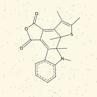 CC1=C(C)C2=C3C(=O)OC(=O)C3=C3c4ccccc4N(C)C3(C)C2(C)S1